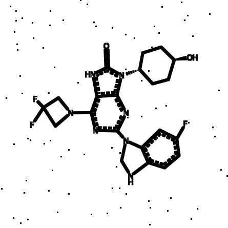 O=c1[nH]c2c(N3CC(F)(F)C3)nc(N3CNc4ccc(F)cc43)nc2n1[C@H]1CC[C@H](O)CC1